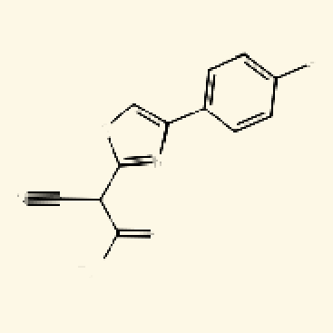 CC(=O)C(C#N)c1nc(-c2ccc(F)cc2)cs1